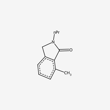 CCCN1Cc2cccc(C)c2C1=O